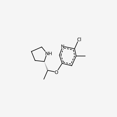 Cc1cc(OC(C)[C@@H]2CCCN2)cnc1Cl